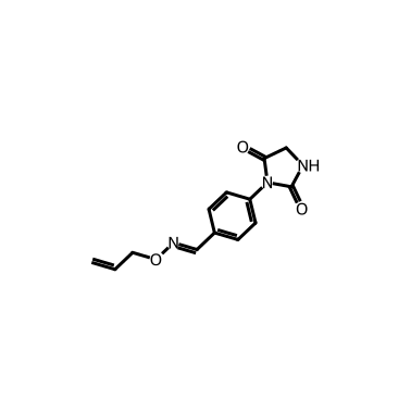 C=CCO/N=C/c1ccc(N2C(=O)CNC2=O)cc1